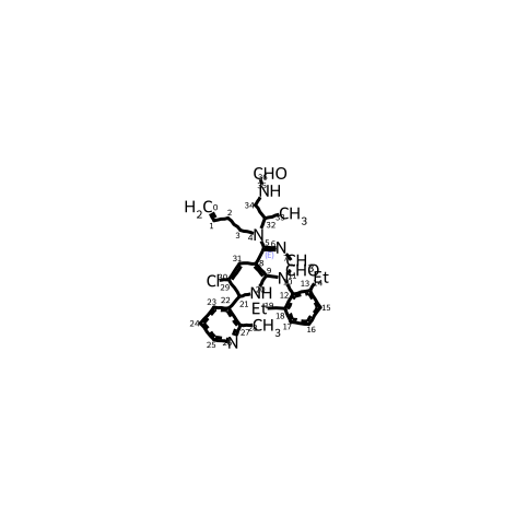 C=CCCN(/C(=N/C)C1=C(N(C=O)c2c(CC)cccc2CC)NC(c2cccnc2C)C(Cl)=C1)C(C)CNC=O